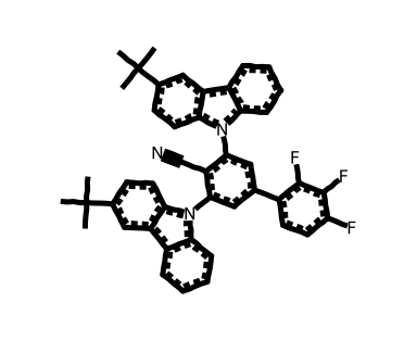 CC(C)(C)c1ccc2c(c1)c1ccccc1n2-c1cc(-c2ccc(F)c(F)c2F)cc(-n2c3ccccc3c3cc(C(C)(C)C)ccc32)c1C#N